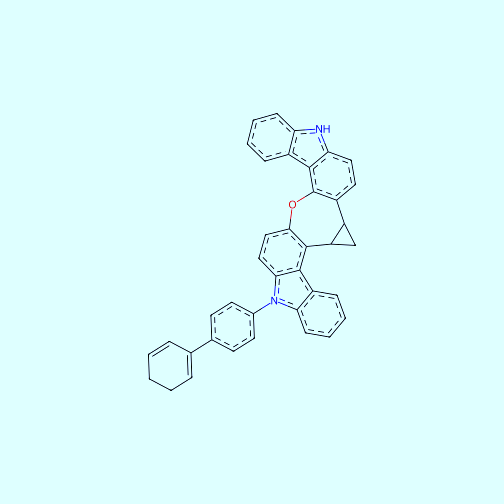 C1=CC(c2ccc(-n3c4ccccc4c4c5c(ccc43)Oc3c(ccc4[nH]c6ccccc6c34)C3CC53)cc2)=CCC1